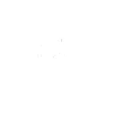 CC1(c2ccccc2)OC(=O)C(C)(c2ccccc2)OC1=O